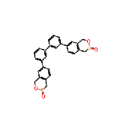 O=S1Cc2ccc(-c3cccc(-c4cccc(-c5ccc6c(c5)COS(=O)C6)c4)c3)cc2CO1